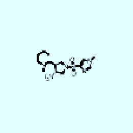 CN1CCCC[C@@H]1[C@H]1CN(S(=O)(=O)c2cn(C)cn2)C[C@@H]1N